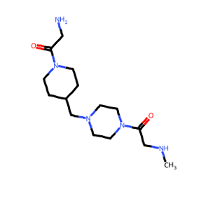 CNCC(=O)N1CCN(CC2CCN(C(=O)CN)CC2)CC1